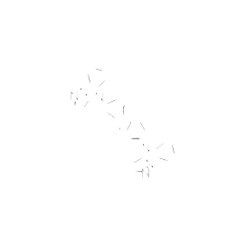 c1ccc2c(c1)n(-c1ccc3c(c1)oc1cc(-n4c5ccccc5n5nccc45)ccc13)c1ccnn21